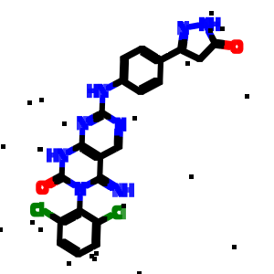 N=c1c2cnc(Nc3ccc(C4=NNC(=O)C4)cc3)nc2[nH]c(=O)n1-c1c(Cl)cccc1Cl